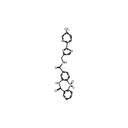 N#Cc1ccc(-c2ncc(CNC(=O)c3ccc4c(c3)NC(=O)c3ccccc3S4(=O)=O)s2)nc1